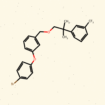 CC(C)(COCc1cccc(Oc2ccc(Br)cc2)c1)c1cccc(C(F)(F)F)c1